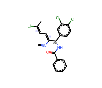 C=N/C(=C\C=C(/C)Cl)[C@@H](NC(=O)c1ccccc1)c1ccc(Cl)c(Cl)c1